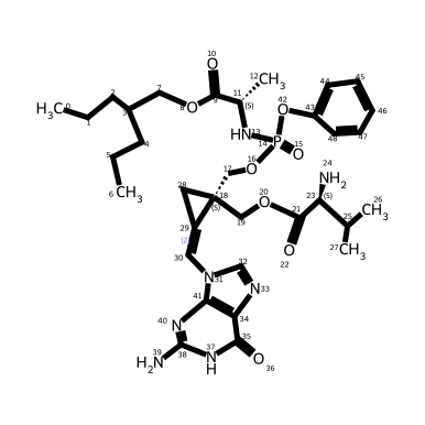 CCCC(CCC)COC(=O)[C@H](C)NP(=O)(OC[C@@]1(COC(=O)[C@@H](N)C(C)C)C/C1=C/n1cnc2c(=O)[nH]c(N)nc21)Oc1ccccc1